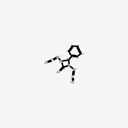 O=C=NN1C(=O)N(N=C=O)C1c1ccccc1